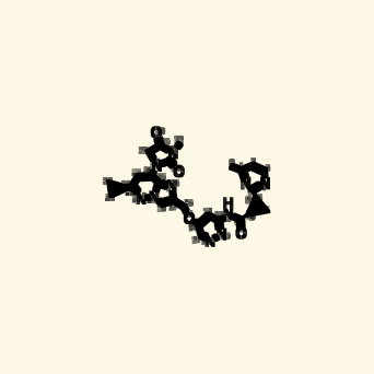 Cc1ccnc([C@H]2C[C@@H]2C(=O)Nc2cc(OCc3cn4nc(C5CC5)cc(N5CC(=O)N(C)C5=O)c4n3)cnn2)n1